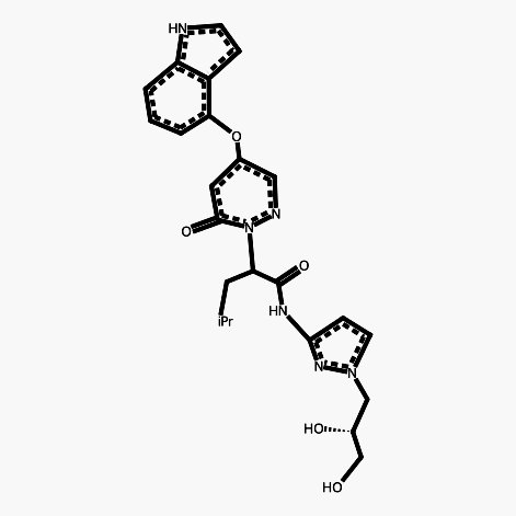 CC(C)CC(C(=O)Nc1ccn(C[C@@H](O)CO)n1)n1ncc(Oc2cccc3[nH]ccc23)cc1=O